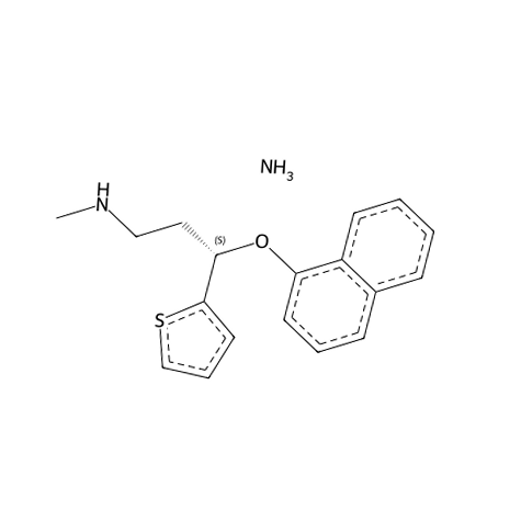 CNCC[C@H](Oc1cccc2ccccc12)c1cccs1.N